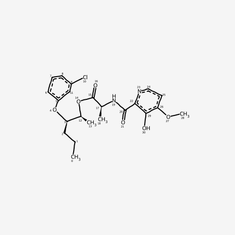 CCC[C@@H](Oc1cccc(Cl)c1)[C@H](C)OC(=O)[C@H](C)NC(=O)c1nccc(OC)c1O